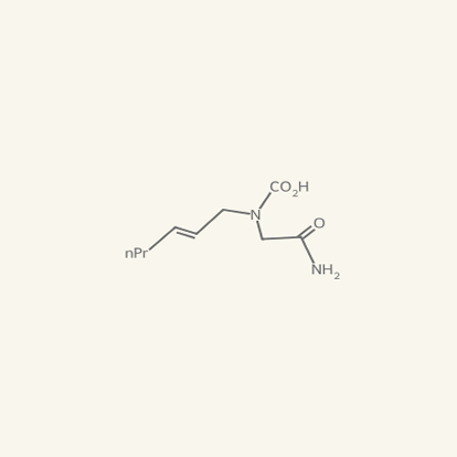 CCCC=CCN(CC(N)=O)C(=O)O